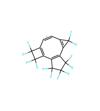 FC1(F)C2=C1C1=C(C3=C(/C=C\2)C(F)(F)C3(F)F)C(F)(F)C(F)(F)C1(F)F